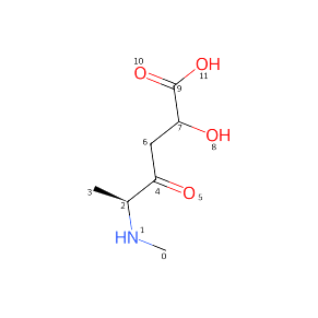 CN[C@@H](C)C(=O)CC(O)C(=O)O